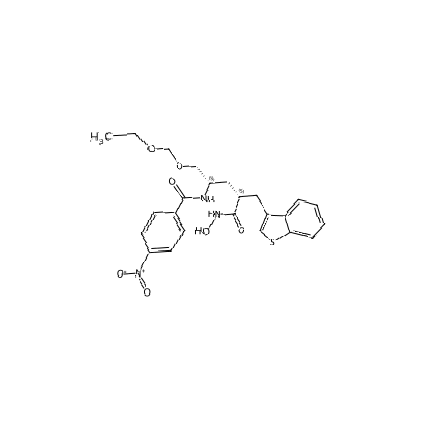 CCOCOC[C@H](C[C@H](Cc1csc2ccccc12)C(=O)NO)NC(=O)c1ccc([N+](=O)[O-])cc1